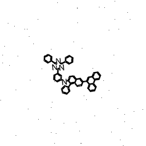 c1ccc(-c2nc(-c3ccccc3)nc(-c3cccc(-n4c5ccccc5c5c6ccc(-c7cc8ccccc8c8ccccc78)cc6ccc54)c3)n2)cc1